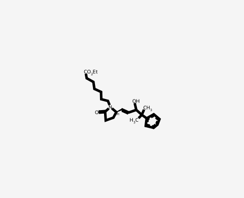 CCOC(=O)CCCCCCN1C(=O)CC[C@@H]1C=CC(O)C(C)(C)c1ccccc1